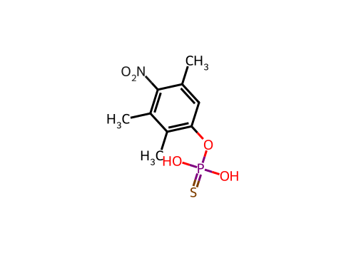 Cc1cc(OP(O)(O)=S)c(C)c(C)c1[N+](=O)[O-]